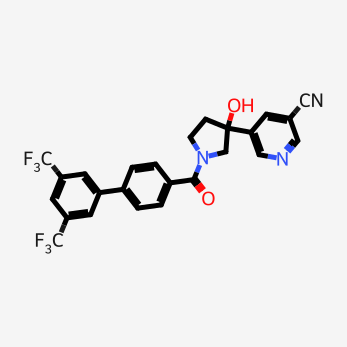 N#Cc1cncc(C2(O)CCN(C(=O)c3ccc(-c4cc(C(F)(F)F)cc(C(F)(F)F)c4)cc3)C2)c1